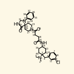 CN(C)C1(Cc2cccc(Cl)c2)CCC(NC(=O)CCC(=O)N2CCC3(CC2)C(=O)NCN3c2ccccc2)CC1